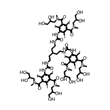 CN(CC(O)CO)C(=O)c1c(I)c(NC(=O)NCCC(CCNC(=O)Nc2c(I)c(C(=O)N(C)CC(O)CO)c(I)c(C(=O)N(C)CC(O)CO)c2I)CCNC(=O)Nc2c(I)c(C(=O)N(C)CC(O)CO)c(I)c(C(=O)N(C)CC(O)CO)c2I)c(I)c(C(=O)N(C)CC(O)CO)c1I